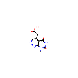 Cn1c(=O)c2c(CC(=O)O)cnnc2n(C)c1=O